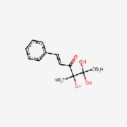 O=C(O)C(O)(O)C(O)(C(=O)O)C(=O)/C=C/c1ccccc1